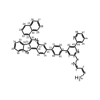 C/C=C\C=N/Cc1cc(-c2ccc(-c3ccc4c(c3)nc(-c3cccc5ccccc35)c3c5ccccc5sc43)cc2)cc(-c2ccccn2)n1